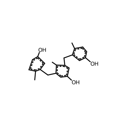 Cc1ccc(O)cc1Cc1cc(O)cc(Cc2cc(O)ccc2C)c1C